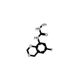 [CH2]CCNC(=O)Nc1cc(F)cc2c1OCOC2